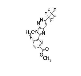 COC(=O)c1ccc(F)c(-c2nc3cc(C(F)(F)C(F)(F)F)nnc3n2C)n1